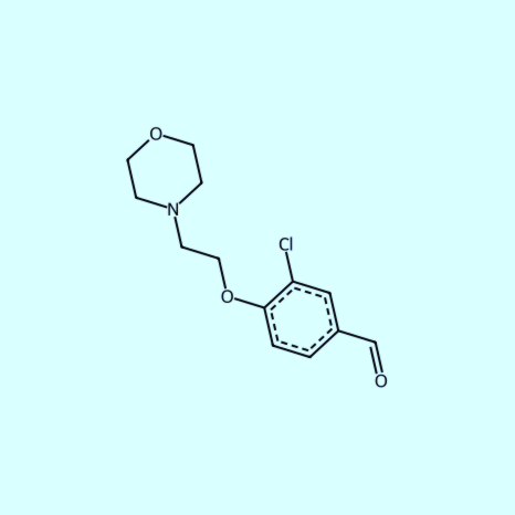 O=Cc1ccc(OCCN2CCOCC2)c(Cl)c1